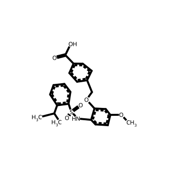 COc1ccc(NS(=O)(=O)c2ccccc2C(C)C)c(OCc2ccc(C(=O)O)cc2)c1